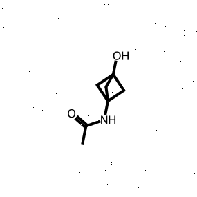 CC(=O)NC12CC(O)(C1)C2